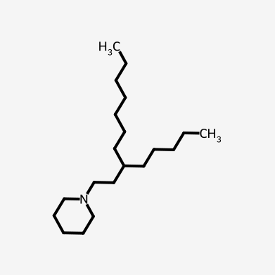 CCCCCCCC(CCCCC)CCN1CCCCC1